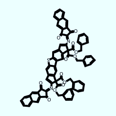 O=C(OCc1ccccc1)C1(C(=O)OCc2ccccc2)C(N=c2c(=O)c3cc4ccccc4cc3c2=O)=Cc2cc3sc4cc5c(cc4c3cc21)C(C(=O)OCc1ccccc1)(C(=O)OCc1ccccc1)C(N=c1c(=O)c2cc3ccccc3cc2c1=O)=C5